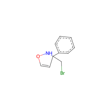 BrCC1(c2ccccc2)C=CON1